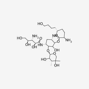 C[C@@H]1C(O)[C@@H](OC2C(O)C(O[C@H]3O[C@H](CCCCO)CCC3N)[C@@H](N)C[C@H]2NC(=O)[C@@H](O)[C@@H](N)[C@@H](O)CO)OCC1(C)O